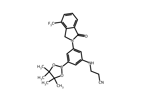 CC1(C)OB(c2cc(NCCC#N)cc(N3Cc4c(cccc4C(F)(F)F)C3=O)c2)OC1(C)C